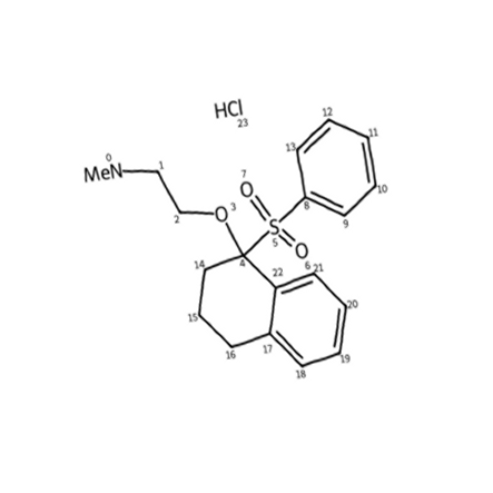 CNCCOC1(S(=O)(=O)c2ccccc2)CCCc2ccccc21.Cl